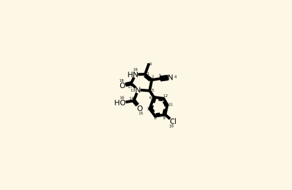 CC1=C(C#N)C(c2ccc(Cl)cc2)N(C(=O)O)C(=O)N1